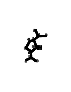 CC(C)[C@@H]1CC[C@H](C(C)C)N1